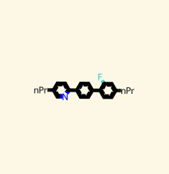 CCCc1ccc(-c2ccc(-c3ccc(CCC)cc3F)cc2)nc1